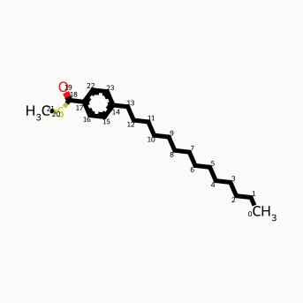 CCCCCCCCCCCCCCc1ccc(C(=O)SC)cc1